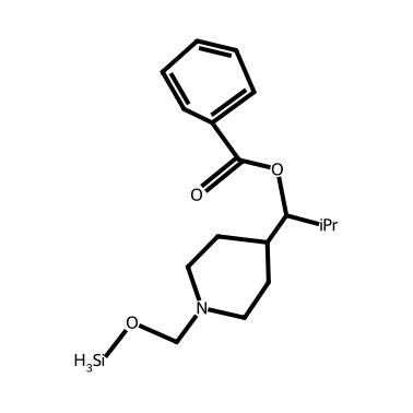 CC(C)C(OC(=O)c1ccccc1)C1CCN(CO[SiH3])CC1